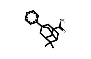 CC1(C)C2CC3(C(N)=O)CC1CC(c1ccccc1)(C2)C3